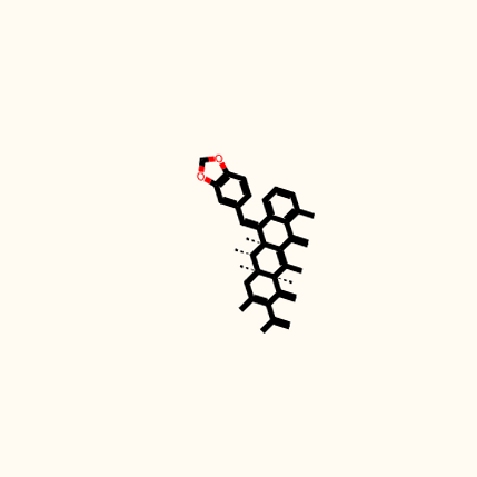 C=C(C)C1=C(C)C[C@@]2(C)[C@H](C)[C@]3(C)C(=C(C)[C@@]2(C)C1=C)C(=C)c1c(C)cccc1/C3=C\c1ccc2c(c1)OCO2